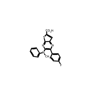 CN(c1ccccc1)c1nc2sc(C(=O)O)cc2nc1-c1ccc(F)cc1